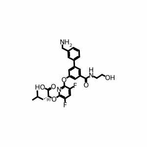 CC(C)C[C@@H](Oc1nc(Oc2cc(C(=O)NCCO)cc(-c3cccc(CN)c3)c2)c(F)cc1F)C(=O)O